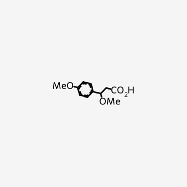 COc1ccc(C(CC(=O)O)OC)cc1